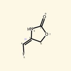 O=C1N/C(=C/F)CO1